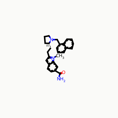 Cn1c(CC[C@@H]2CCCN2Cc2cccc3ccccc23)cc2ccc(C(N)=O)cc21